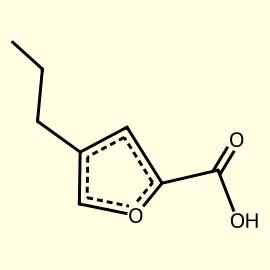 CCCc1coc(C(=O)O)c1